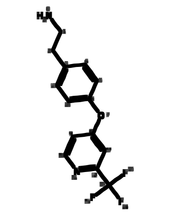 NCCc1ccc(Oc2ccnc(C(F)(F)F)c2)cc1